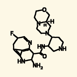 NC1NC2=C3CC(F)C=NC(=C32)C1C(=O)NC1CNCCC1N1CCN2CCOC[C@H]2C1